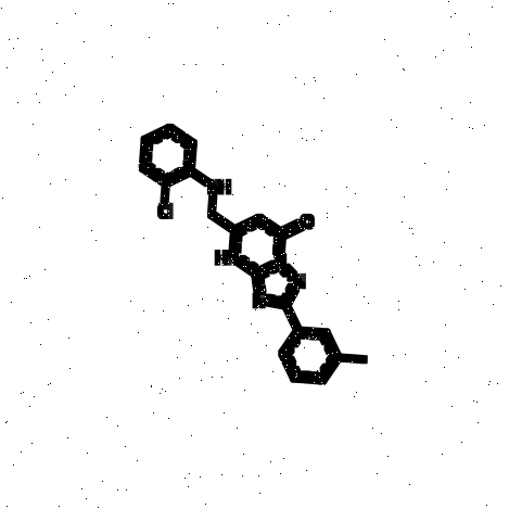 Cc1cccc(-c2nc3[nH]c(CNc4ccccc4Cl)cc(=O)n3n2)c1